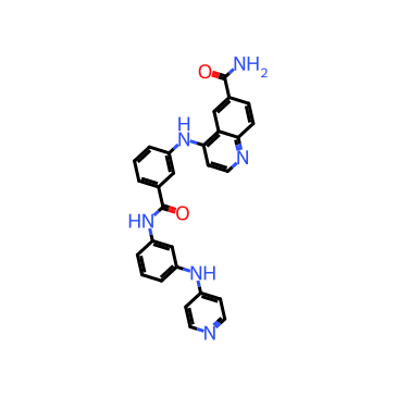 NC(=O)c1ccc2nccc(Nc3cccc(C(=O)Nc4cccc(Nc5ccncc5)c4)c3)c2c1